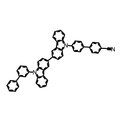 N#Cc1ccc(-c2ccc(-n3c4ccccc4c4cc(-c5ccc6c(c5)c5ccccc5n6-c5cccc(-c6ccccc6)c5)ccc43)cc2)cc1